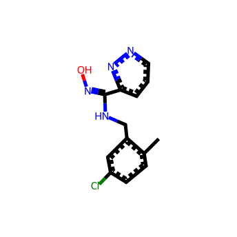 Cc1ccc(Cl)cc1CN/C(=N/O)c1cccnn1